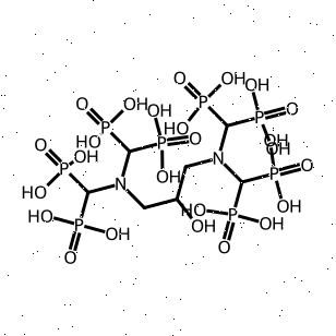 O=P(O)(O)C(N(CC(O)CN(C(P(=O)(O)O)P(=O)(O)O)C(P(=O)(O)O)P(=O)(O)O)C(P(=O)(O)O)P(=O)(O)O)P(=O)(O)O